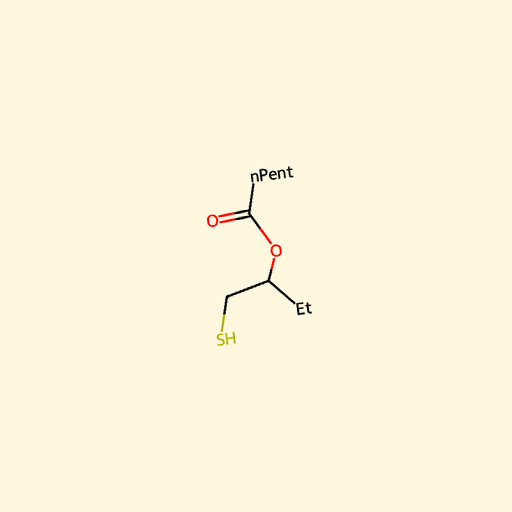 CCCCCC(=O)OC(CC)CS